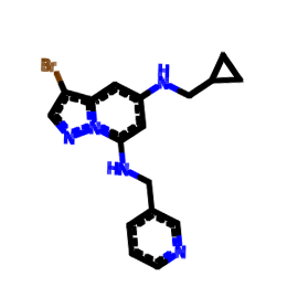 Brc1cnn2c(NCc3cccnc3)cc(NCC3CC3)cc12